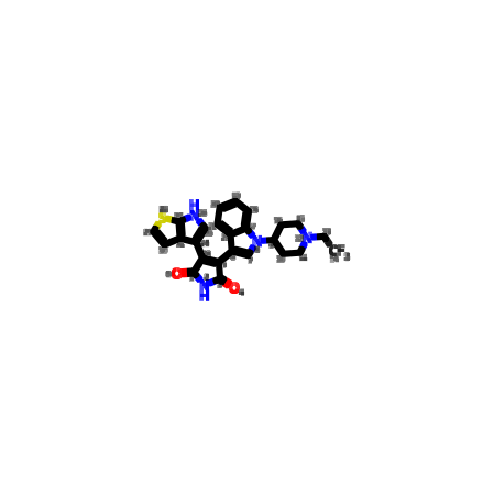 O=C1NC(=O)C(c2cn(C3CCN(CC(F)(F)F)CC3)c3ccccc23)=C1c1c[nH]c2sccc12